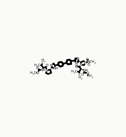 COC(=O)N[C@H](C(=O)N1CCC[C@H]1C1=NCC(c2ccc(-c3ccc(-c4cnc([C@@H]5CN(S(C)(=O)=O)CN5C(=O)[C@@H](NC(=O)OC)C(C)C)[nH]4)cc3)cc2)N1)C(C)C